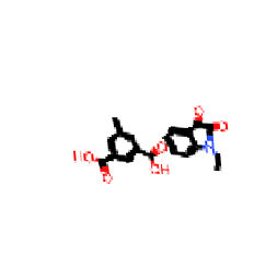 CCN1C(=O)C(=O)c2ccccc21.Cc1cc(C(=O)O)cc(C(=O)O)c1